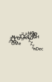 CCCCCCCCCCCCCCCC(=O)NC(CCP(=O)(O)O)Cc1ccc(OCc2ncc(C)c(OC)c2C)cc1